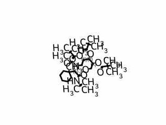 CC(C)(C)NC(=O)[C@@H](N(C=O)C1OC[C@@H](OC(=O)C(C)(C)C)[C@@H](OC(=O)C(C)(C)C)[C@@H]1OC(=O)C(C)(C)C)C1(C)CCCCC1